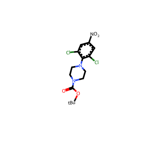 CC(C)(C)OC(=O)N1CCN(c2c(Cl)cc([N+](=O)[O-])cc2Cl)CC1